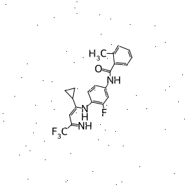 Cc1ccccc1C(=O)Nc1ccc(N/C(=C\C(=N)C(F)(F)F)C2CC2)c(F)c1